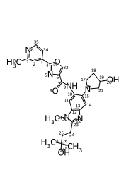 Cc1cc(-c2nc(C(=O)Nc3cc4c(cc3N3CC[C@@H](O)C3)nc(CCC(C)(C)O)n4C)co2)ccn1